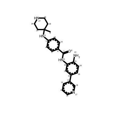 CC1(Nc2ccc(C(=O)Nc3cc(-c4cccnc4)ccc3N)cc2)CCNCC1